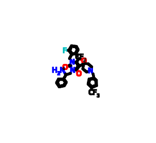 NC(Cn1c(=O)c2c(n(Cc3c(F)cccc3C(F)(F)F)c1=O)COC21CCN(Cc2ccc(C(F)(F)F)cc2)CC1)c1ccccc1